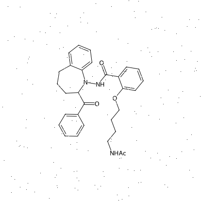 CC(=O)NCCCCOc1ccccc1C(=O)NN1c2ccccc2CCCC1C(=O)c1ccccc1